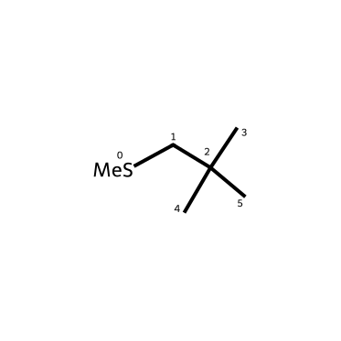 CSCC(C)(C)C